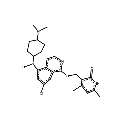 CCN(c1cc(Cl)cc2c(OCc3c(C)cc(C)[nH]c3=O)nccc12)C1CCC(N(C)C)CC1